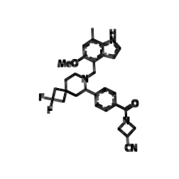 COc1cc(C)c2[nH]ccc2c1CN1CCC2(CC1c1ccc(C(=O)N3CC(C#N)C3)cc1)CC(F)(F)C2